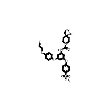 CC(C)CC1(O)CCN(C(=O)Nc2cc(Oc3ccc(OCCF)cc3)cc(Oc3ccc(S(C)(=O)=O)cc3)c2)CC1